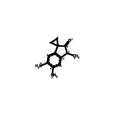 CN1C(=O)C2(CC2)c2cc(N)c(N)cc21